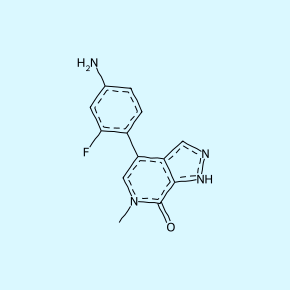 Cn1cc(-c2ccc(N)cc2F)c2cn[nH]c2c1=O